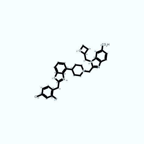 O=C(O)c1ccc2nc(CN3CCC(c4cccc5sc(Cc6ccc(Cl)cc6F)nc45)CC3)n(CC3CCO3)c2c1